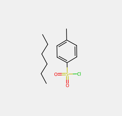 CCCCCC.Cc1ccc(S(=O)(=O)Cl)cc1